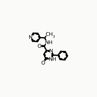 CC(NC(=O)c1cc(=O)[nH]c(-c2ccccc2)n1)c1ccncc1